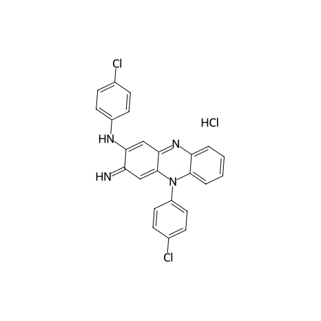 Cl.N=c1cc2n(-c3ccc(Cl)cc3)c3ccccc3nc-2cc1Nc1ccc(Cl)cc1